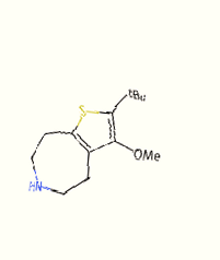 COc1c(C(C)(C)C)sc2c1CCNCC2